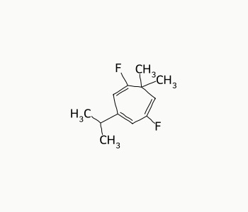 CC(C)C1=CC(F)=CC(C)(C)C(F)=C1